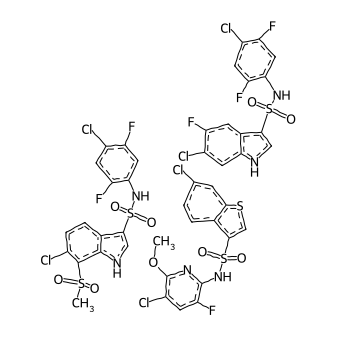 COc1nc(NS(=O)(=O)c2csc3cc(Cl)ccc23)c(F)cc1Cl.CS(=O)(=O)c1c(Cl)ccc2c(S(=O)(=O)Nc3cc(F)c(Cl)cc3F)c[nH]c12.O=S(=O)(Nc1cc(F)c(Cl)cc1F)c1c[nH]c2cc(Cl)c(F)cc12